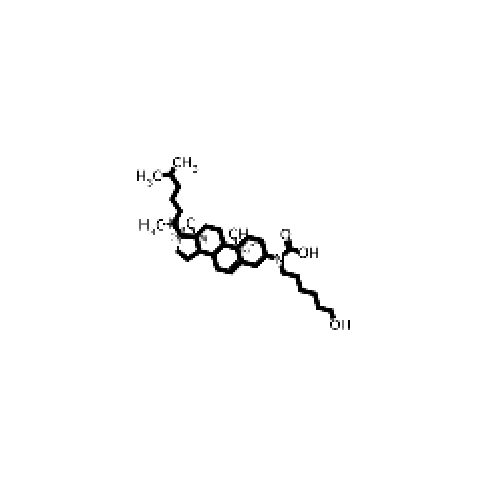 CC(C)CCC[C@@H](C)[C@H]1CCC2C3CC=C4CC(N(CCCCCCO)C(=O)O)CC[C@]4(C)C3CC[C@@]21C